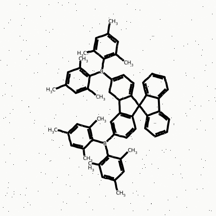 Cc1cc(C)c(B(C2=CC=C3C(C2)c2cc(B(c4c(C)cc(C)cc4C)c4c(C)cc(C)cc4C)ccc2C32c3ccccc3-c3ccccc32)c2c(C)cc(C)cc2C)c(C)c1